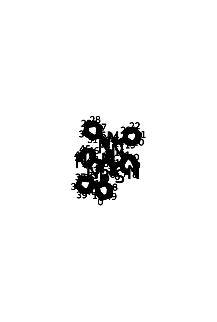 c1ccc(B2c3sc4ncccc4c3N(c3nc(-c4ccccc4)nc(-c4ccccc4)n3)c3c2n(-c2ccccc2)c2ncccc32)cc1